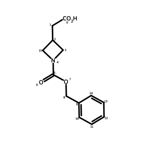 O=C(O)CC1CN(C(=O)OCc2ccccc2)C1